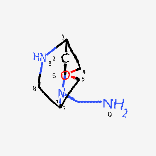 NN1CC2COCC1CN2